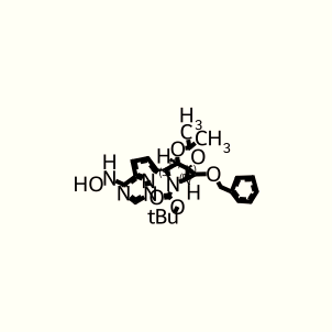 CC(C)(C)OC(=O)N1[C@@H](c2ccc3c(NO)ncnn23)[C@@H]2OC(C)(C)O[C@@]23C(OCc2ccccc2)[C@@H]13